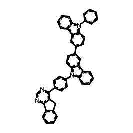 c1ccc(-n2c3ccccc3c3cc(-c4ccc5c(c4)c4ccccc4n5-c4ccc(-c5ncnc6c5Cc5ccccc5-6)cc4)ccc32)cc1